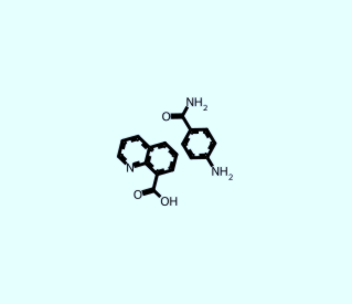 NC(=O)c1ccc(N)cc1.O=C(O)c1cccc2cccnc12